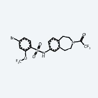 O=C(N1CCc2ccc(NS(=O)(=O)c3ccc(Br)cc3OC(F)(F)F)cc2CC1)C(F)(F)F